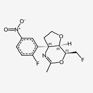 CC1=N[C@@]2(c3cc([N+](=O)[O-])ccc3F)CCO[C@H]2[C@@H](CF)O1